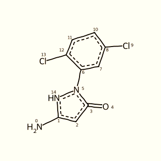 Nc1cc(=O)n(-c2cc(Cl)ccc2Cl)[nH]1